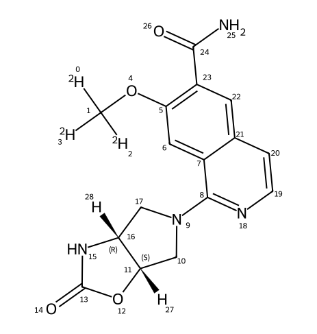 [2H]C([2H])([2H])Oc1cc2c(N3C[C@@H]4OC(=O)N[C@@H]4C3)nccc2cc1C(N)=O